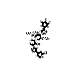 CO[C@H]1C[SH]([C@@H]2COC[C@H](n3cc(-c4ccnc(Cl)c4)nn3)[C@H]2O)[C@H](COC(C)=O)[C@H](OC(C)=O)[C@H]1n1cc(-c2cc(F)c(F)c(F)c2)nn1